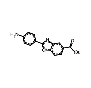 CC(C)(C)C(=O)c1ccc2oc(-c3ccc(N)cc3)nc2c1